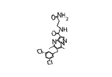 Cc1nc2c(C(=O)NCCC(N)=O)cnn2c(C)c1Cc1cc(Cl)cc(Cl)c1